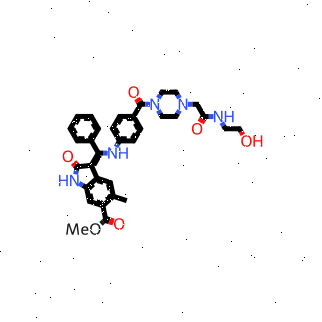 COC(=O)c1cc2c(cc1C)C(=C(Nc1ccc(C(=O)N3CCN(CC(=O)NCCO)CC3)cc1)c1ccccc1)C(=O)N2